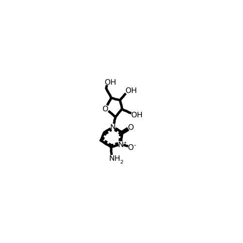 Nc1ccn(C2OC(CO)C(O)C2O)c(=O)[n+]1[O-]